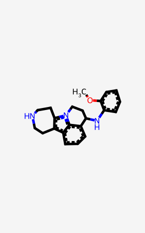 COc1ccccc1NC1CCn2c3c(c4cccc1c42)CCNCC3